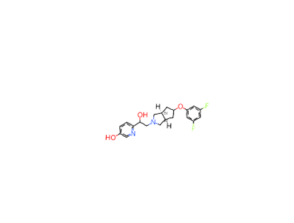 Oc1ccc(C(O)CN2C[C@H]3CC(Oc4cc(F)cc(F)c4)C[C@H]3C2)nc1